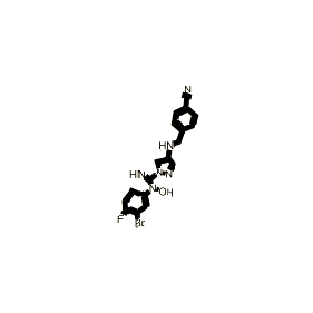 N#Cc1ccc(CNc2cnn(C(=N)N(O)c3ccc(F)c(Br)c3)c2)cc1